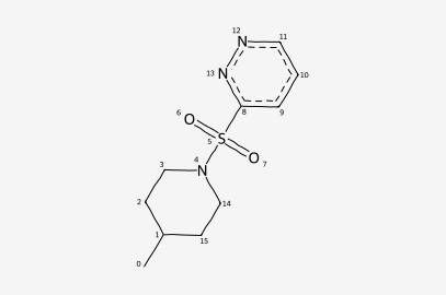 CC1CCN(S(=O)(=O)c2cccnn2)CC1